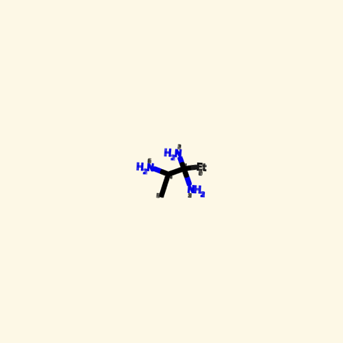 CCC(N)(N)C(C)N